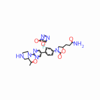 CC(=O)C1CNCCN1c1ncc(-c2ccc(N3CC(CCC(N)=O)OC3=O)cc2F)cn1.O=c1oc2cn1cn2